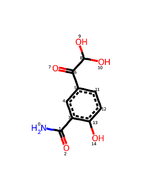 NC(=O)c1cc(C(=O)C(O)O)ccc1O